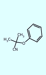 CC(C)(C#N)Oc1ccccc1